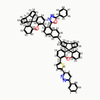 c1ccc(-c2ccc(-c3ccc(-c4cccc5c4Oc4ccccc4C54c5ccccc5-c5cc(-c6ccc7c(-c8nnc(-c9ccccc9)o8)c(-c8cccc9c8Oc8ccccc8C98c9ccccc9-c9ccccc98)ccc7c6)ccc54)s3)nn2)cc1